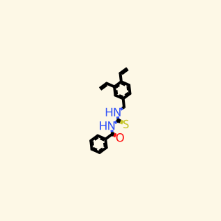 C=Cc1ccc(CNC(=S)NC(=O)c2ccccc2)cc1C=C